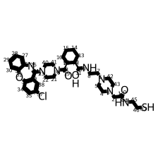 O=C(CN1CCN(CCNC(O)[C@@H]2CCCC[C@@H]2C(=O)N2CCN(C3=Nc4ccccc4Oc4ccc(Cl)cc43)CC2)CC1)NCCS